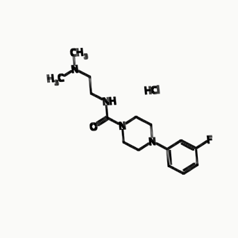 CN(C)CCNC(=O)N1CCN(c2cccc(F)c2)CC1.Cl